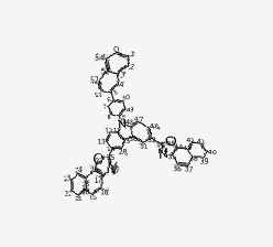 c1ccc2cc(-c3ccc(-n4c5ccc(-c6nc7ccc8ccccc8c7o6)cc5c5cc(-c6nc7ccc8ccccc8c7o6)ccc54)cc3)ccc2c1